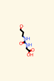 [O]CCCNC(=O)NCC(=O)O